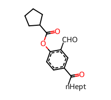 CCCCCCCC(=O)c1ccc(OC(=O)C2CCCC2)c(C=O)c1